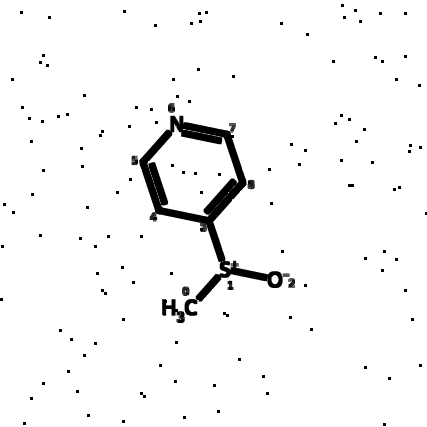 C[S+]([O-])c1ccncc1